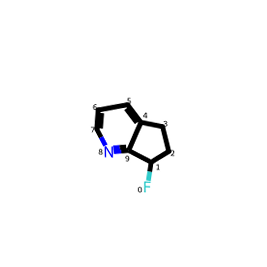 FC1CCc2cccnc21